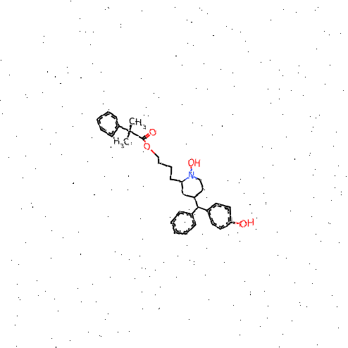 CC(C)(C(=O)OCCCCC1CC(C(c2ccccc2)c2ccc(O)cc2)CCN1O)c1ccccc1